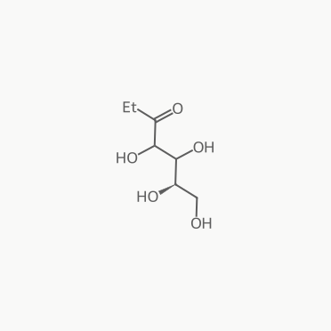 CCC(=O)C(O)C(O)[C@H](O)CO